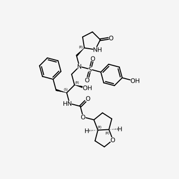 O=C1CC[C@H](CN(C[C@@H](O)[C@H](Cc2ccccc2)NC(=O)OC2CC[C@H]3OCC[C@@H]23)S(=O)(=O)c2ccc(O)cc2)N1